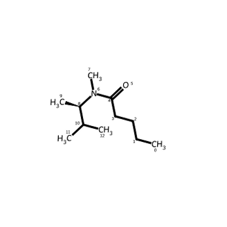 CCCCC(=O)N(C)[C@H](C)C(C)C